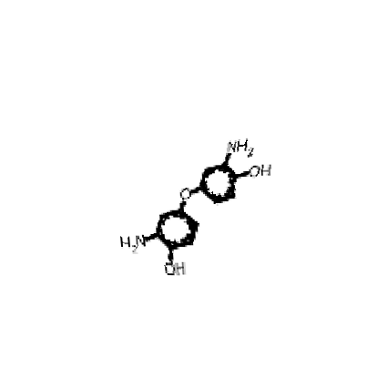 Nc1cc(Oc2ccc(O)c(N)c2)ccc1O